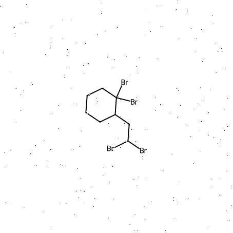 BrC(Br)CC1CCCCC1(Br)Br